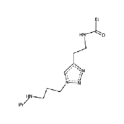 CCC(=O)NCCc1cn(CCCNC(C)C)nn1